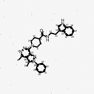 Cc1nnc(N2CCC(C(=O)NCCc3c[nH]c4ccccc34)CC2)c2nn(-c3ccccc3)c(C)c12